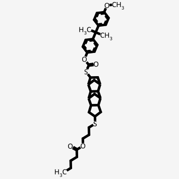 CCCCC(=O)OCCCSC1CC2C(C1)C1CC2C2C3CC(SC(=O)Oc4ccc(C(C)(C)c5ccc(OC)cc5)cc4)C(C3)C12